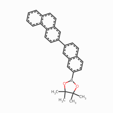 CC1(C)OB(c2ccc3ccc(-c4ccc5c(ccc6ccccc65)c4)cc3c2)OC1(C)C